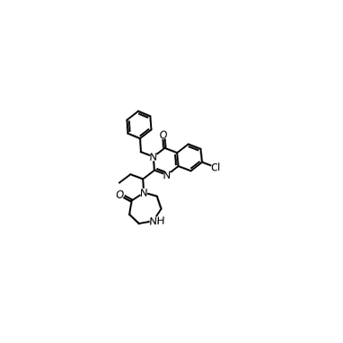 CCC(c1nc2cc(Cl)ccc2c(=O)n1Cc1ccccc1)N1CCNCCC1=O